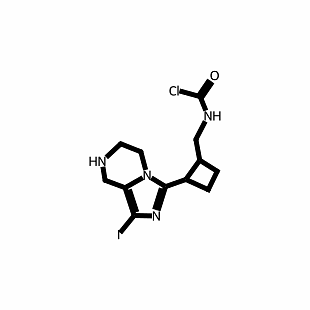 O=C(Cl)NCC1CCC1c1nc(I)c2n1CCNC2